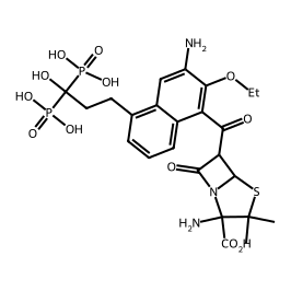 CCOc1c(N)cc2c(CCC(O)(P(=O)(O)O)P(=O)(O)O)cccc2c1C(=O)C1C(=O)N2C1SC(C)(C)C2(N)C(=O)O